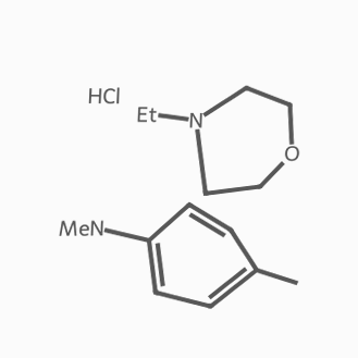 CCN1CCOCC1.CNc1ccc(C)cc1.Cl